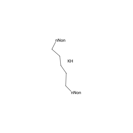 CCCCCCCCCCCCCCCCCCCCCCC.[KH]